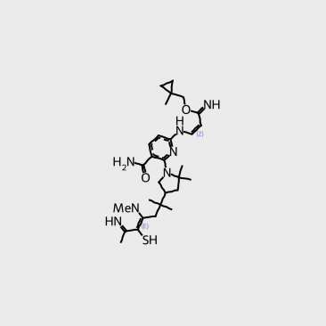 CN/C(CC(C)(C)C1CN(c2nc(N/C=C\C(=N)OCC3(C)CC3)ccc2C(N)=O)C(C)(C)C1)=C(/S)C(C)=N